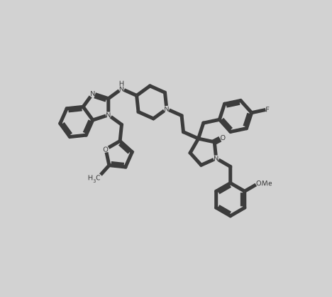 COc1ccccc1CN1CCC(CCN2CCC(Nc3nc4ccccc4n3Cc3ccc(C)o3)CC2)(Cc2ccc(F)cc2)C1=O